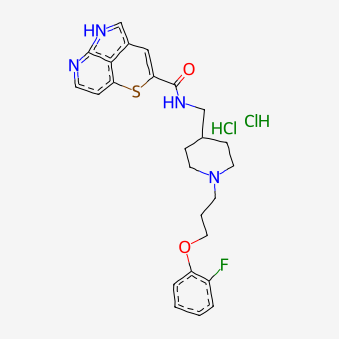 Cl.Cl.O=C(NCC1CCN(CCCOc2ccccc2F)CC1)C1=Cc2c[nH]c3nccc(c23)S1